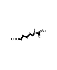 CCCCC(=O)NCCCCCC=O